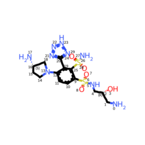 NC[C@@H](O)CNS(=O)(=O)c1ccc(N2CC[C@H](N)C2)c(-c2nn[nH]n2)c1S(N)(=O)=O